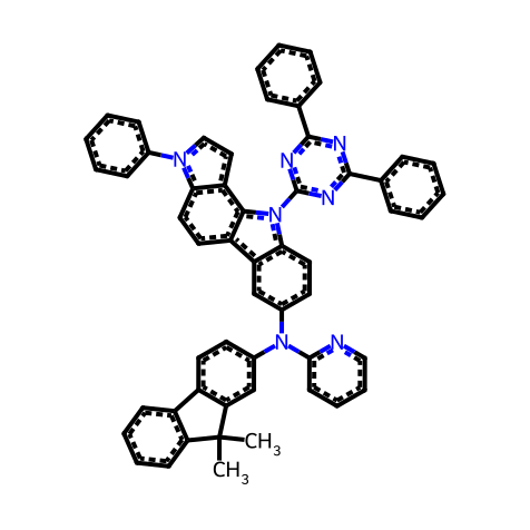 CC1(C)c2ccccc2-c2ccc(N(c3ccc4c(c3)c3ccc5c(ccn5-c5ccccc5)c3n4-c3nc(-c4ccccc4)nc(-c4ccccc4)n3)c3ccccn3)cc21